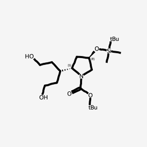 CC(C)(C)OC(=O)N1C[C@H](O[Si](C)(C)C(C)(C)C)C[C@H]1C(CCO)CCO